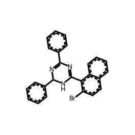 Brc1ccc2ccccc2c1C1=NC(c2ccccc2)=NC(c2ccccc2)N1